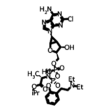 CCN(CC)CCc1ccccc1OP(=O)(N[C@@H](C)C(=O)OC(C)C)OP(=O)(O)OC[C@H]1OC2C([C@@H]2n2cnc3c(N)nc(Cl)nc32)[C@H]1O